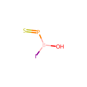 OB(I)P=S